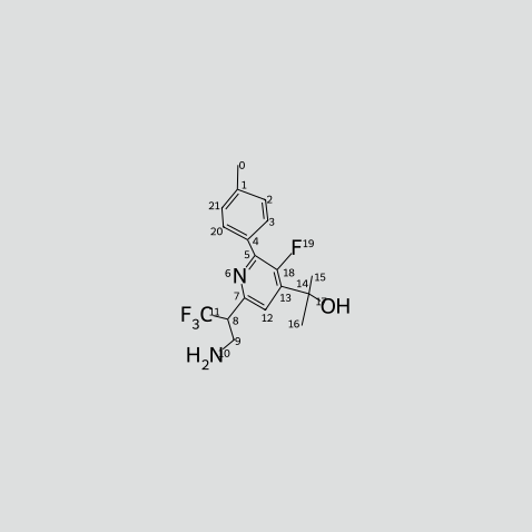 Cc1ccc(-c2nc(C(CN)C(F)(F)F)cc(C(C)(C)O)c2F)cc1